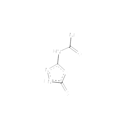 [NH]C(=O)Nc1n[nH]c(=S)s1